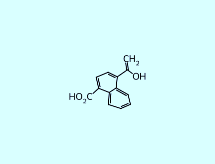 C=C(O)c1ccc(C(=O)O)c2ccccc12